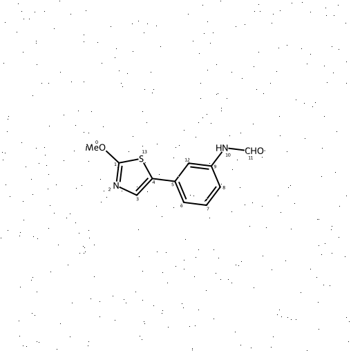 COc1ncc(-c2cccc(N[C]=O)c2)s1